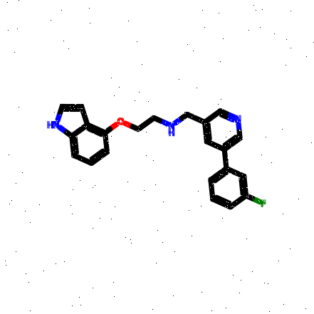 Fc1cccc(-c2cncc(CNCCOc3cccc4[nH]ccc34)c2)c1